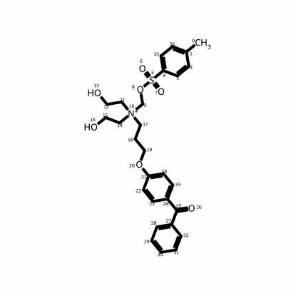 Cc1ccc(S(=O)(=O)OC[N+](CCO)(CCO)CCCOc2ccc(C(=O)c3ccccc3)cc2)cc1